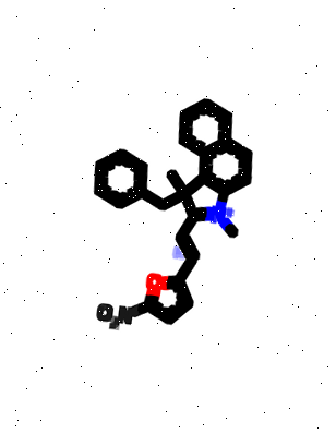 C[N+]1=C(/C=C/c2ccc([N+](=O)[O-])o2)C(C)(Cc2ccccc2)c2c1ccc1ccccc21